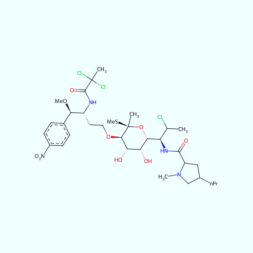 CCCC1CC(C(=O)N[C@H](C(C)Cl)[C@H]2O[C@](C)(SC)[C@H](OCC[C@@H](NC(=O)C(C)(Cl)Cl)[C@H](OC)c3ccc([N+](=O)[O-])cc3)[C@@H](O)[C@H]2O)N(C)C1